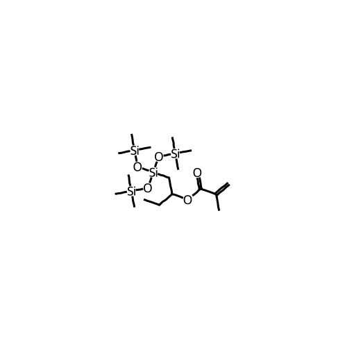 C=C(C)C(=O)OC(CC)C[Si](O[Si](C)(C)C)(O[Si](C)(C)C)O[Si](C)(C)C